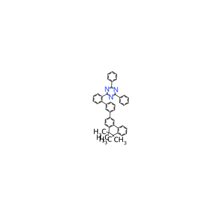 CC1(C)c2ccccc2-c2cc(-c3cccc(-c4ccccc4-c4nc(-c5ccccc5)nc(-c5ccccc5)n4)c3)ccc2C1(C)C